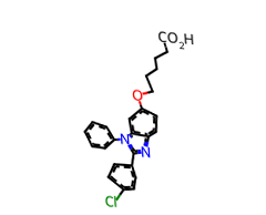 O=C(O)CCCCCOc1ccc2nc(-c3ccc(Cl)cc3)n(-c3ccccc3)c2c1